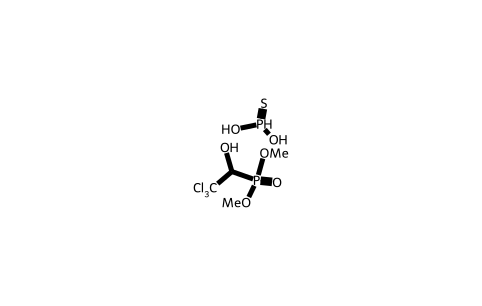 COP(=O)(OC)C(O)C(Cl)(Cl)Cl.O[PH](O)=S